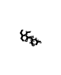 CCC(CC)N(CC)C(=O)N[C@H]([C]=O)CC(C)C